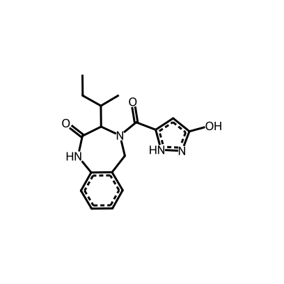 CCC(C)C1C(=O)Nc2ccccc2CN1C(=O)c1cc(O)n[nH]1